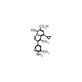 CC1=C(c2cnc(N)c(C)c2)C=CN2C1=C(C1CC1)C=C(C(=O)O)C2S